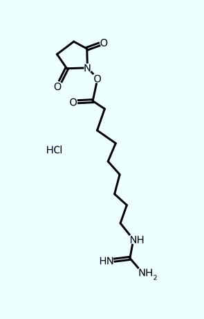 Cl.N=C(N)NCCCCCCCCC(=O)ON1C(=O)CCC1=O